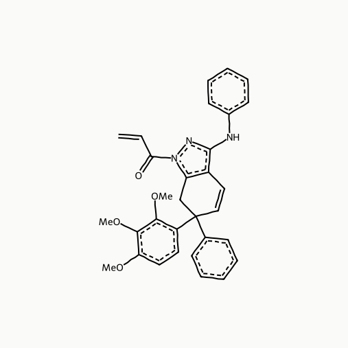 C=CC(=O)n1nc(Nc2ccccc2)c2c1CC(c1ccccc1)(c1ccc(OC)c(OC)c1OC)C=C2